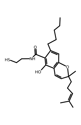 CCCCCc1cc2c(c(O)c1C(=O)NCCS)C=CC(C)(CCC=C(C)C)O2